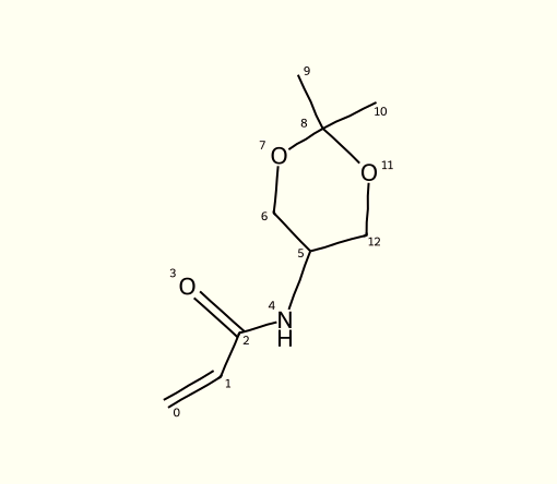 C=CC(=O)NC1COC(C)(C)OC1